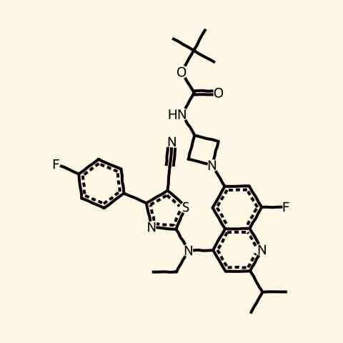 CCN(c1nc(-c2ccc(F)cc2)c(C#N)s1)c1cc(C(C)C)nc2c(F)cc(N3CC(NC(=O)OC(C)(C)C)C3)cc12